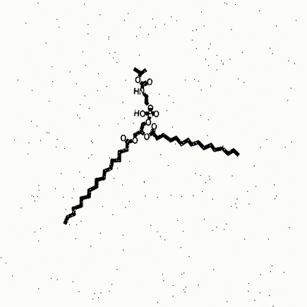 CCCCCCCCCCCCCCCCCC(=O)OCC(COP(=O)(O)OCCNC(=O)OC(C)C)OC(=O)CCCCCCCCCCCCCCC